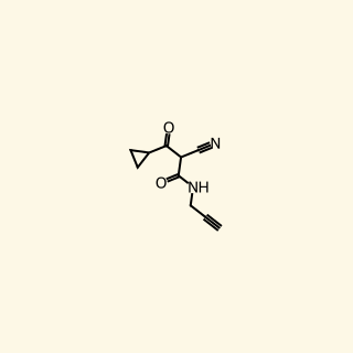 C#CCNC(=O)C(C#N)C(=O)C1CC1